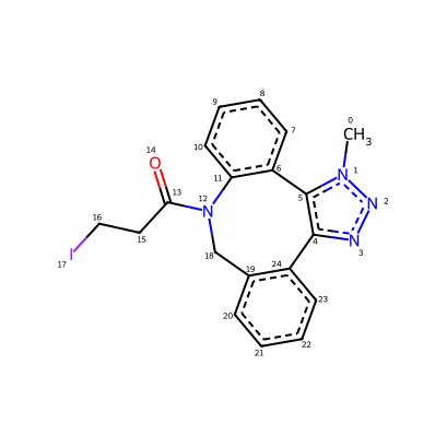 Cn1nnc2c1-c1ccccc1N(C(=O)CCI)Cc1ccccc1-2